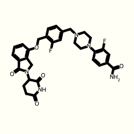 NC(=O)c1ccc(N2CCN(Cc3ccc(COc4cccc5c4CN(C4CCC(=O)NC4=O)C5=O)c(F)c3)CC2)c(F)c1